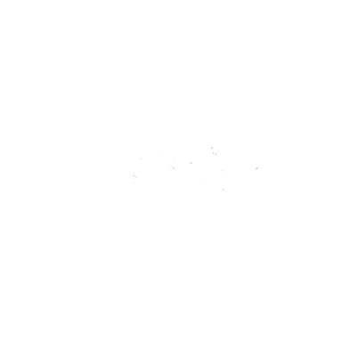 NC(CNC(=O)CC1(N)CCCCC1)C(=O)O